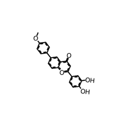 COc1ccc(-c2ccc3oc(-c4ccc(O)c(O)c4)cc(=O)c3c2)cc1